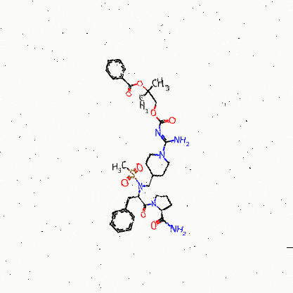 CC(C)(COC(=O)N=C(N)N1CCC(CN([C@H](Cc2ccccc2)C(=O)N2CCC[C@H]2C(N)=O)S(C)(=O)=O)CC1)OC(=O)c1ccccc1